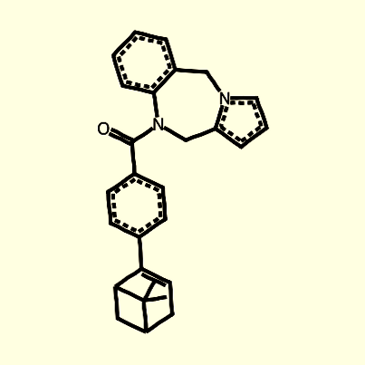 CC1(C)C2CC=C(c3ccc(C(=O)N4Cc5cccn5Cc5ccccc54)cc3)C1C2